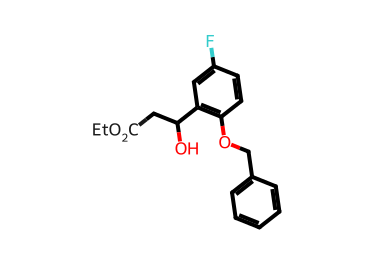 CCOC(=O)CC(O)c1cc(F)ccc1OCc1ccccc1